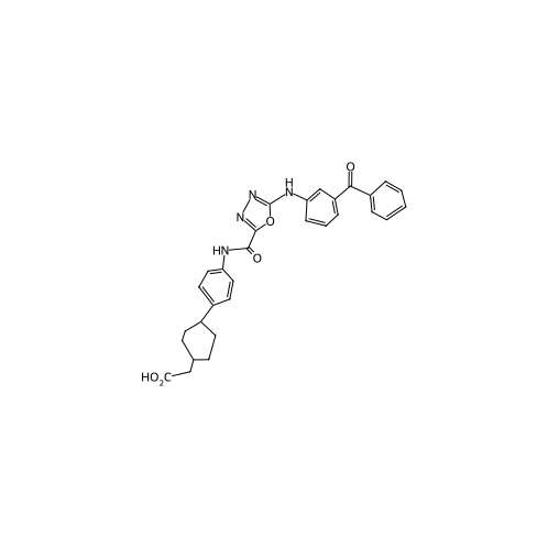 O=C(O)CC1CCC(c2ccc(NC(=O)c3nnc(Nc4cccc(C(=O)c5ccccc5)c4)o3)cc2)CC1